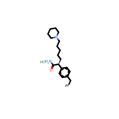 CC(C)Cc1ccc([C@H](CCCCCN2CCCCC2)C(N)=O)cc1.Cl